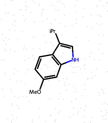 COc1ccc2c(C(C)C)c[nH]c2c1